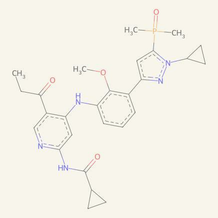 CCC(=O)c1cnc(NC(=O)C2CC2)cc1Nc1cccc(-c2cc(P(C)(C)=O)n(C3CC3)n2)c1OC